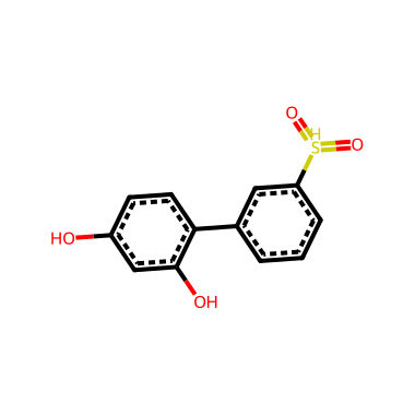 O=[SH](=O)c1cccc(-c2ccc(O)cc2O)c1